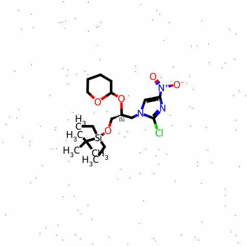 CC[Si](CC)(OC[C@H](Cn1cc([N+](=O)[O-])nc1Cl)OC1CCCCO1)C(C)(C)C